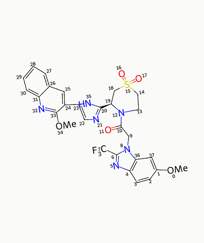 COc1ccc2nc(C(F)(F)F)n(CC(=O)N3CCS(=O)(=O)C[C@@H]3c3ncc(-c4cc5ccccc5nc4OC)[nH]3)c2c1